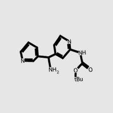 CC(C)(C)OC(=O)Nc1cc(C(N)c2cccnc2)ccn1